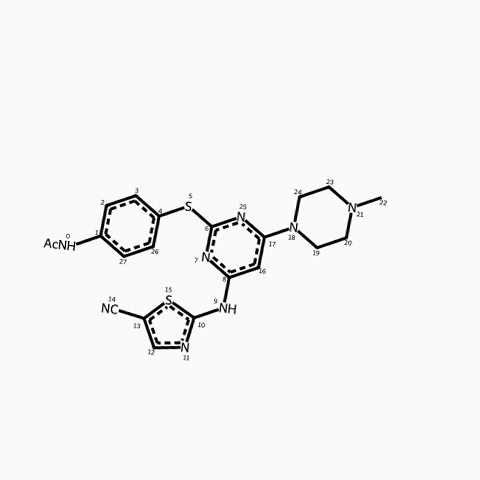 CC(=O)Nc1ccc(Sc2nc(Nc3ncc(C#N)s3)cc(N3CCN(C)CC3)n2)cc1